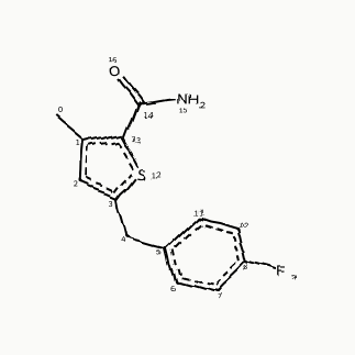 Cc1cc(Cc2ccc(F)cc2)sc1C(N)=O